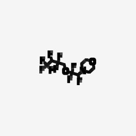 FC(C(F)(F)F)C(F)(F)COC(F)(F)C(F)N1CCOCC1